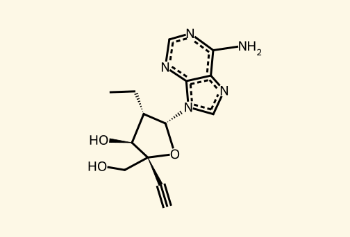 C#C[C@]1(CO)O[C@@H](n2cnc3c(N)ncnc32)[C@@H](CC)[C@@H]1O